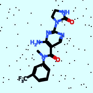 CN(C(=O)c1cnc(N2CCNC2=O)nc1N)c1cccc(C(F)(F)F)c1